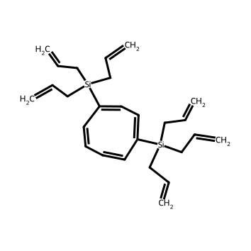 C=CC[Si](CC=C)(CC=C)C1=CC=C([Si](CC=C)(CC=C)CC=C)C=CC=C1